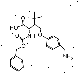 CC(C)(C)C(COc1ccc(CN)cc1)[C@H](NC(=O)OCc1ccccc1)C(=O)O